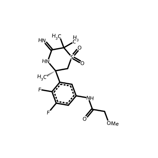 COCC(=O)Nc1cc(F)c(F)c([C@]2(C)CS(=O)(=O)C(C)(C)C(=N)N2)c1